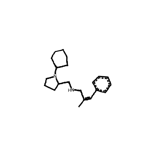 CC(=Cc1ccccc1)CNCC1CCCN1C1CCCCC1